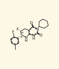 Cc1ccc(F)c([C@H]2Nc3[nH]c(=O)n(C4CCCCC4)c(=O)c3C[C@H]2F)c1